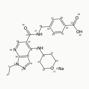 CCn1ncc2c(NC3CCOCC3)c(C(=O)NCc3ccc(C(=O)O)cc3)cnc21.[Na]